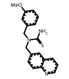 COc1cccc(CN(Cc2ccc3ncccc3c2)C(N)=S)c1